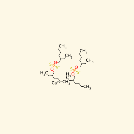 CCCCC(CC)COP(=S)([S-])OCC(CC)CCCC.CCCCC(CC)COP(=S)([S-])OCC(CC)CCCC.[Ca+2]